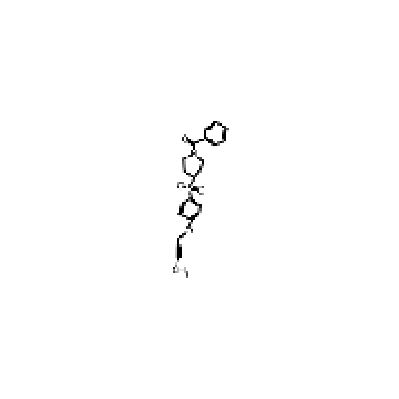 CC#CCOc1ccc(S(=O)(=O)C2CCN(C(=O)c3ccccc3)CC2)cc1